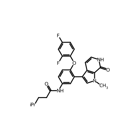 CC(C)CCC(=O)Nc1ccc(Oc2ccc(F)cc2F)c(-c2cn(C)c3c(=O)[nH]ccc23)c1